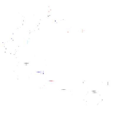 Cc1cccc(OCCOC(=O)N2CCSc3c(-c4cnn(Cc5c(F)cc(C(=O)NCS(=O)(=O)O)cc5Cl)c4)cccc32)c1C